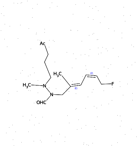 CC(=O)CCCN(C)N(C=O)C/C(C)=C/C=C\CF